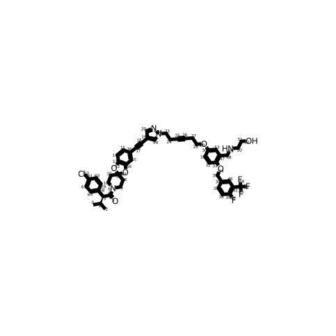 CC(C)[C@H](C(=O)N1CCC2(CC1)Oc1ccc(C#Cc3cnn(CCC#CCCOc4ccc(OCc5ccc(F)c(C(F)(F)F)c5)c(CNCCO)c4)c3)cc1O2)c1ccc(Cl)cc1